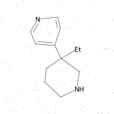 CCC1(c2ccncc2)CCCNC1